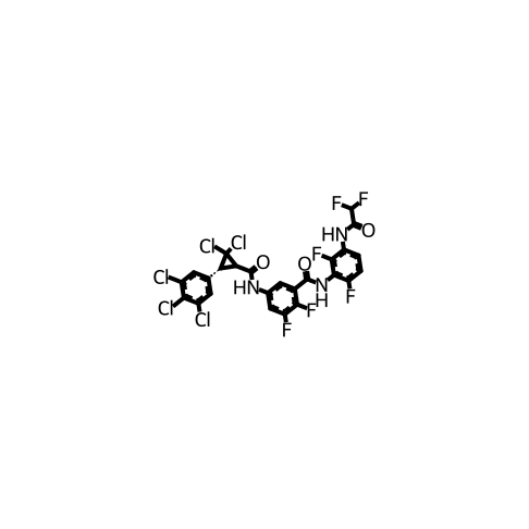 O=C(Nc1c(F)ccc(NC(=O)C(F)F)c1F)c1cc(NC(=O)C2[C@H](c3cc(Cl)c(Cl)c(Cl)c3)C2(Cl)Cl)cc(F)c1F